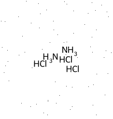 Cl.Cl.Cl.N.N